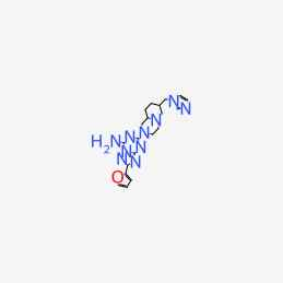 Nc1nc(N2CCN3CC(Cn4ccnc4)CCC3C2)nc2nc(-c3ccco3)nn12